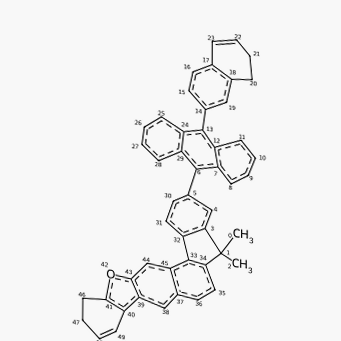 CC1(C)c2cc(-c3c4ccccc4c(-c4ccc5c(c4)CCC=C5)c4ccccc34)ccc2-c2c1ccc1cc3c4c(oc3cc21)CCC=C4